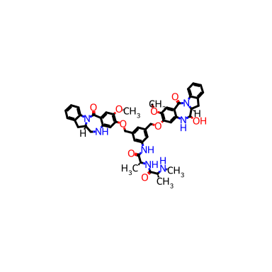 CN[C@@H](C)C(=O)N[C@@H](C)C(=O)Nc1cc(COc2cc3c(cc2OC)C(=O)N2c4ccccc4C[C@H]2CN3)cc(COc2cc3c(cc2OC)C(=O)N2c4ccccc4C[C@H]2C(O)N3)c1